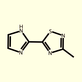 Cc1nsc(-c2ncc[nH]2)n1